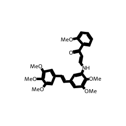 COc1ccccc1C(=O)C=CNc1cc(C=Cc2cc(OC)c(OC)c(OC)c2)cc(OC)c1OC